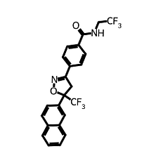 O=C(NCC(F)(F)F)c1ccc(C2=NOC(c3ccc4ccccc4c3)(C(F)(F)F)C2)cc1